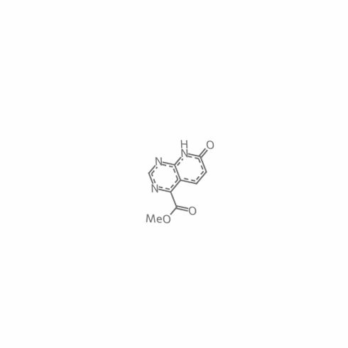 COC(=O)c1ncnc2[nH]c(=O)ccc12